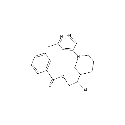 CCC(COC(=O)c1ccccc1)C1CCCN(c2cnnc(C)c2)C1